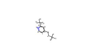 CC(C)(C)CCc1ccnc(C(C)(C)C)c1